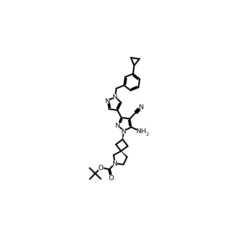 CC(C)(C)OC(=O)N1CC[C@]2(C1)C[C@H](n1nc(-c3cnn(Cc4cccc(C5CC5)c4)c3)c(C#N)c1N)C2